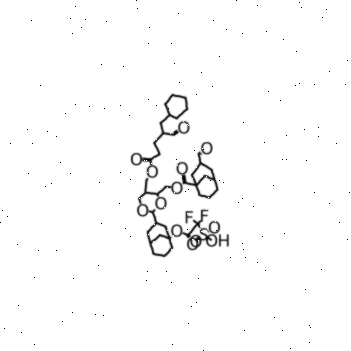 O=CC(CCC(=O)OCC1COC(C2CC3CCCC(OC(=O)C(F)(F)S(=O)(=O)O)(C3)C2)OC1COC(=O)C12CCCC(CC(C=O)C1)C2)CC1CCCCC1